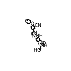 N#Cc1cc(-c2ccnc(Nc3cccc(CS(=O)(=O)NCCO)c3)n2)ccc1OC1CCOCC1